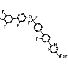 CCCCCc1cnc(-c2ccc(-c3ccc(C(F)(F)Oc4ccc(-c5cc(F)c(F)c(F)c5)c(F)c4)cc3)c(F)c2)nc1